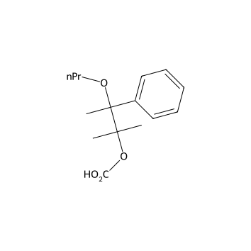 CCCOC(C)(c1ccccc1)C(C)(C)OC(=O)O